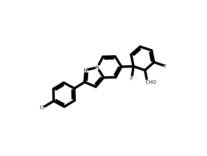 O=CC1C(F)=CC=CC1(F)c1ccn2nc(-c3ccc(Cl)cc3)cc2c1